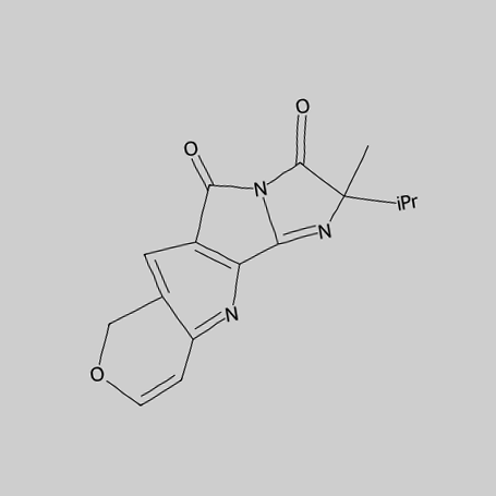 CC(C)C1(C)N=C2c3nc4c(cc3C(=O)N2C1=O)COC=C4